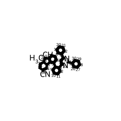 CC1(C)c2cccc(-c3ccccc3-c3cc(-c4ccccc4)nc(-c4ccccc4)n3)c2C2C=C(C#N)C=CC21